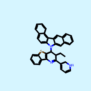 CCC1C(C2=CC=CNC2)=Nc2c(sc3ccccc23)C1n1c2cc3ccccc3cc2c2c3ccccc3ccc21